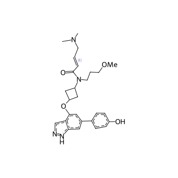 COCCCN(C(=O)/C=C/CN(C)C)C1CC(Oc2cc(-c3ccc(O)cc3)cc3[nH]ncc23)C1